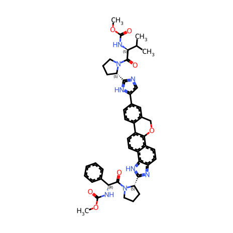 COC(=O)N[C@H](C(=O)N1CCC[C@H]1c1ncc(-c2ccc3c(c2)COc2c-3ccc3c2ccc2nc([C@@H]4CCCN4C(=O)[C@H](NC(=O)OC)c4ccccc4)[nH]c23)[nH]1)C(C)C